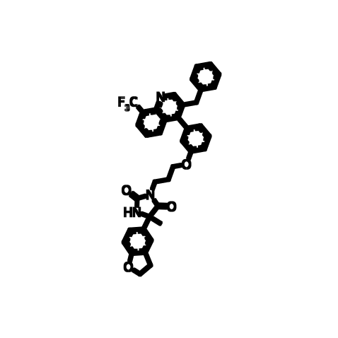 CC1(c2ccc3c(c2)CCO3)NC(=O)N(CCCOc2cccc(-c3c(Cc4ccccc4)cnc4c(C(F)(F)F)cccc34)c2)C1=O